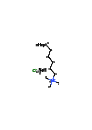 CCCCCCCCCCCC[N+](C)(C)C.[Cl-].[NaH]